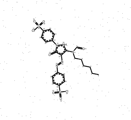 CCCCCCN(C=O)c1[nH]n(-c2ccc(S(=O)(=O)Cl)cc2)c(=O)c1N=Nc1ccc(S(=O)(=O)Cl)cc1